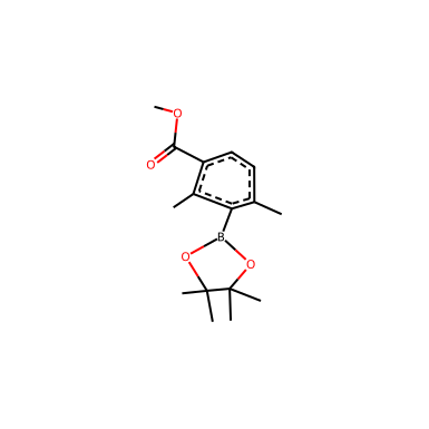 COC(=O)c1ccc(C)c(B2OC(C)(C)C(C)(C)O2)c1C